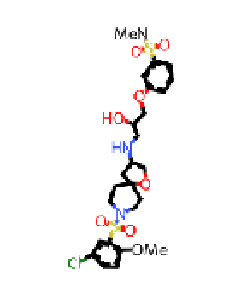 CNS(=O)(=O)c1cccc(OCC(O)CNC2COC3(CCN(S(=O)(=O)c4cc(Cl)ccc4OC)CC3)C2)c1